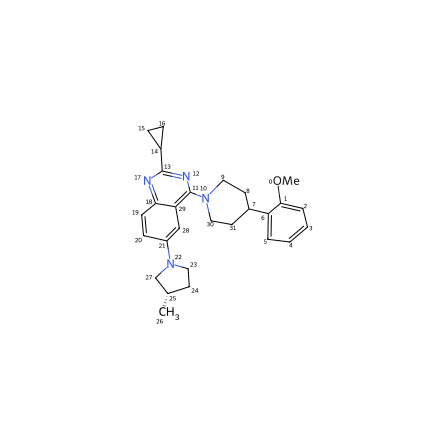 COc1ccccc1C1CCN(c2nc(C3CC3)nc3ccc(N4CC[C@H](C)C4)cc23)CC1